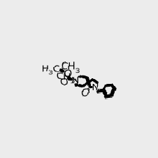 CC(C)(C)OC(=O)N1CCC2(CC1)CCN(Cc1ccccc1)C2=O